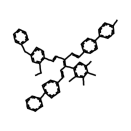 CCc1cc(Cc2ccccc2)ccc1C=CC(C=Cc1ccc(-c2ccc(C)cc2)cc1)=C(C=Cc1ccc(-c2ccccc2)cc1)c1cc(C)c(C)c(C)c1C